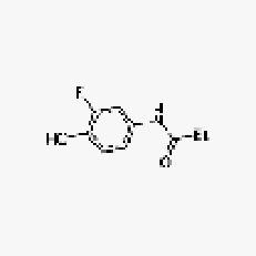 CCC(=O)Nc1ccc(O)c(F)c1